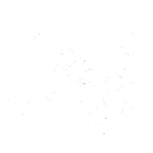 CN(C(=O)OC(C)(C)C)[C@@H]1[C@@H](O)[C@@H](O[C@H]2[C@H](NC(=O)[C@@H](O)CCNC(=O)OC(C)(C)C)C[C@H](NC(=O)OC(C)(C)C)C([C@H]3OC(CN)=CC[C@H]3NC(=O)CNC(=O)OC(C)(C)C)[C@@H]2O)OC[C@]1(C)O